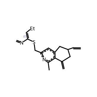 C=CC1CC(=C)c2c(cc(CS/C(=C\CC)N=C)nc2C)C1